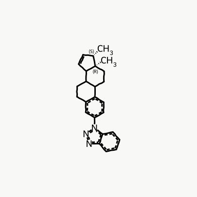 C[C@H]1C=CC2C3CCc4cc(-n5nnc6ccccc65)ccc4C3CC[C@@]21C